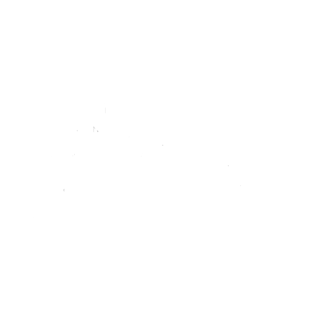 CCCCCCCCCCCCN(C)CCCc1ccccc1